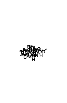 C=CCNC(=O)c1cnc(Nc2ccc(N3C[C@@H](C)N(C)[C@@H](C)C3)c(Cl)c2)nc1Nc1ccc(=O)n(C(C)C)n1